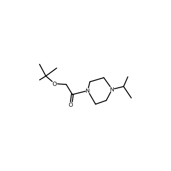 CC(C)N1CCN(C(=O)COC(C)(C)C)CC1